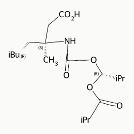 CC[C@@H](C)C[C@@](C)(CC(=O)O)NC(=O)O[C@@H](OC(=O)C(C)C)C(C)C